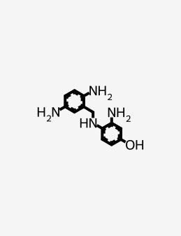 Nc1ccc(N)c(CNc2ccc(O)cc2N)c1